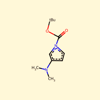 CN(C)c1ccn(C(=O)OC(C)(C)C)c1